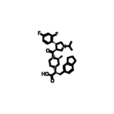 CC(C)N1C[C@@H](C(=O)N2CCN([C@@H](Cc3ccc4c(c3)CCC4)C(=O)O)C[C@@H]2C)[C@H](c2ccc(F)cc2F)C1